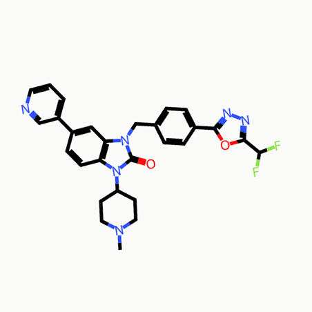 CN1CCC(n2c(=O)n(Cc3ccc(-c4nnc(C(F)F)o4)cc3)c3cc(-c4cccnc4)ccc32)CC1